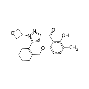 Cc1ccc(OCC2=C(c3ccnn3C3COC3)CCCC2)c(C=O)c1O